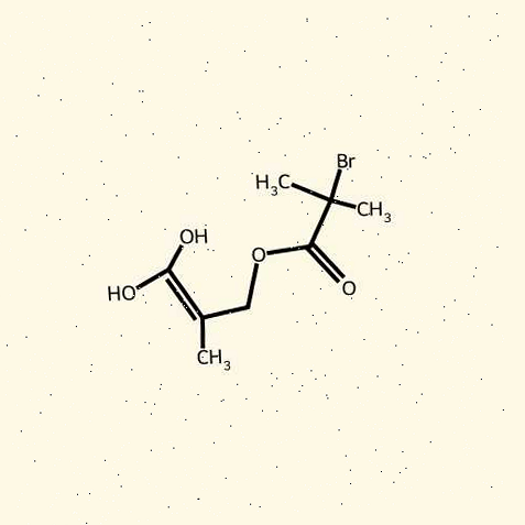 CC(COC(=O)C(C)(C)Br)=C(O)O